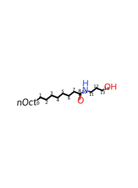 CCCCCCCCCCCCCCCC(=O)NCCCO